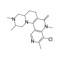 C=C1C2=C(c3cnc(C)c(Cl)c3N1C)N1CC(C)N(C)CC1CC2